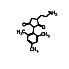 Cc1cc(C)c(C2C(=O)CC(CCN)C2=O)c(C)c1